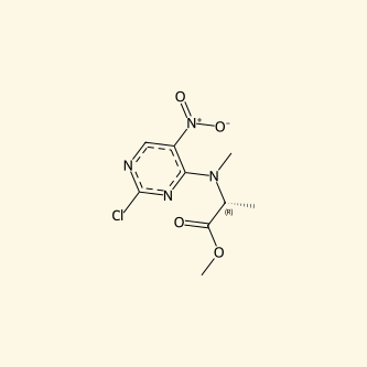 COC(=O)[C@@H](C)N(C)c1nc(Cl)ncc1[N+](=O)[O-]